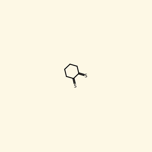 S=C1CCCCC1=S